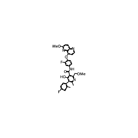 COCc1nc(C)c(-c2ccc(F)cc2C)c(O)c1C(=O)Nc1ccc(Oc2ccnc3ccc(OC)nc23)c(F)c1